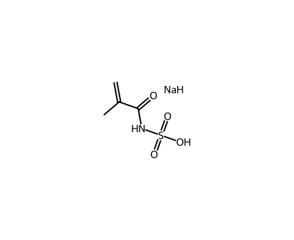 C=C(C)C(=O)NS(=O)(=O)O.[NaH]